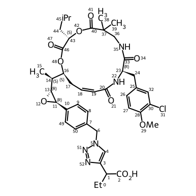 CCC(C(=O)O)c1cn(Cc2ccc([C@H]3O[C@@H]3[C@@H](C)[C@@H]3CC=CC(=O)N[C@H](Cc4ccc(OC)c(Cl)c4)C(=O)NCC(C)(C)C(=O)O[C@@H](CC(C)C)C(=O)O3)cc2)nn1